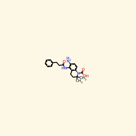 CC1(C)CCc2c(ccc(N)c2NC(=O)CCc2ccccc2)N1C(=O)O